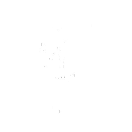 CC(COCc1ccc(C(F)(F)F)cc1)(COC1(O)CCCCC1)[Si](C)(C)O[Si](C)(C)C(C)(COCc1ccc(C(F)(F)F)cc1)COC1(O)CCCCC1